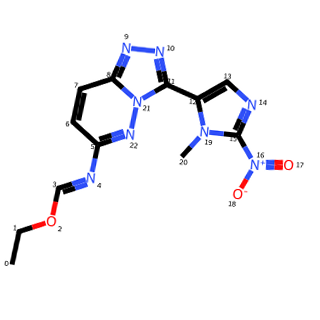 CCOC=Nc1ccc2nnc(-c3cnc([N+](=O)[O-])n3C)n2n1